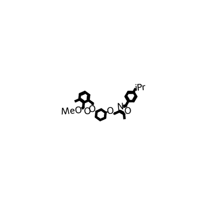 COC(=O)c1c(C)cccc1CO[C@@H]1CCC[C@H](OCc2nc(-c3ccc(C(C)C)cc3)oc2C)C1